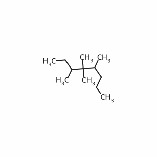 CCCC(C)C(C)(C)[C](C)CC